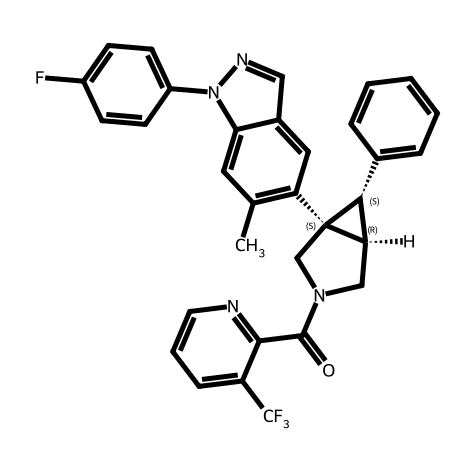 Cc1cc2c(cnn2-c2ccc(F)cc2)cc1[C@@]12CN(C(=O)c3ncccc3C(F)(F)F)C[C@@H]1[C@H]2c1ccccc1